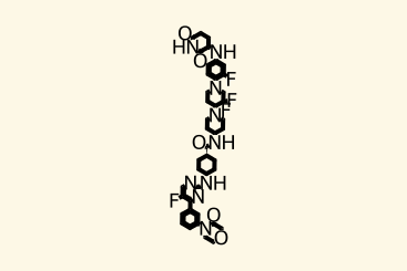 O=C1CCC(Nc2ccc(N3CCC(N4CCC(NC(=O)[C@H]5CC[C@H](Nc6ncc(F)c(-c7cccc(N8CCOCC8=O)c7)n6)CC5)CC4)C(F)(F)C3)c(F)c2)C(=O)N1